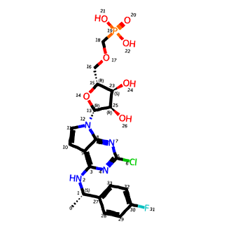 C[C@H](Nc1nc(Cl)nc2c1ccn2[C@@H]1O[C@H](COCP(=O)(O)O)[C@@H](O)[C@H]1O)c1ccc(F)cc1